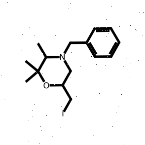 CC1N(Cc2ccccc2)CC(CI)OC1(C)C